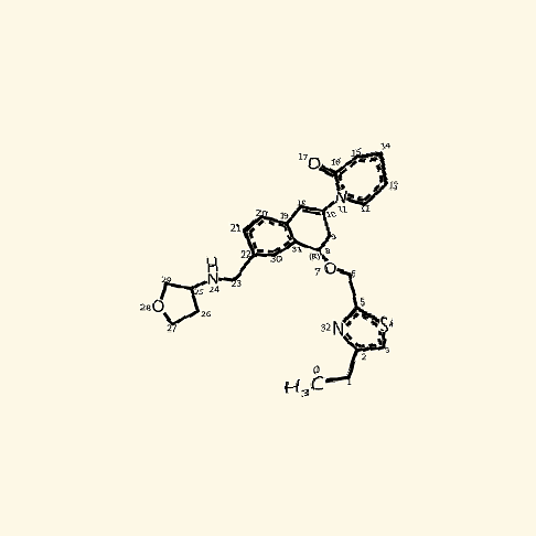 CCc1csc(CO[C@@H]2CC(n3ccccc3=O)=Cc3ccc(CNC4CCOC4)cc32)n1